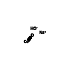 [Na+].[OH-].[O]=[Ce]